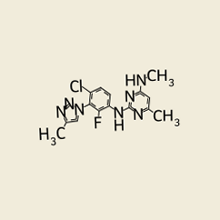 CNc1cc(C)nc(Nc2ccc(Cl)c(-n3cc(C)nn3)c2F)n1